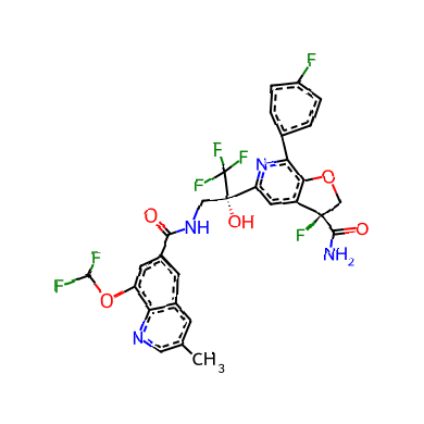 Cc1cnc2c(OC(F)F)cc(C(=O)NC[C@](O)(c3cc4c(c(-c5ccc(F)cc5)n3)OC[C@]4(F)C(N)=O)C(F)(F)F)cc2c1